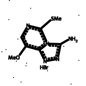 Br.COc1cnc(SC)n2c(N)nnc12